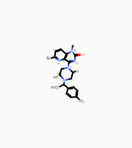 CCOC(=O)C(c1ccc(C(F)(F)F)cc1)N1CC(CC)N(c2nc(=O)n(C)c3ccc(C#N)nc23)C[C@H]1CC